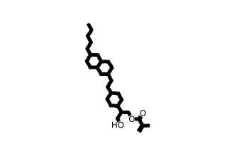 C=C(C)C(=O)OCC(CO)C1CCC(CCC2CCC3CC(CCCCC)CCC3C2)CC1